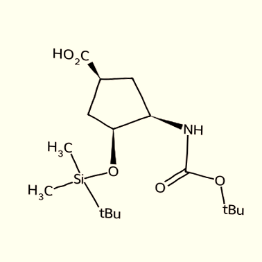 CC(C)(C)OC(=O)N[C@@H]1C[C@H](C(=O)O)C[C@@H]1O[Si](C)(C)C(C)(C)C